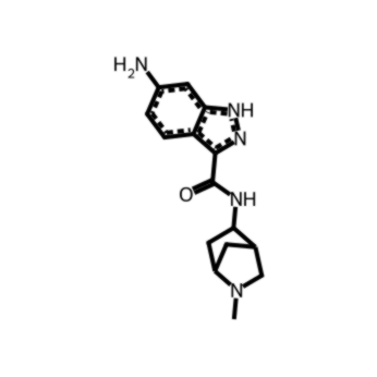 CN1CC2CC1CC2NC(=O)c1n[nH]c2cc(N)ccc12